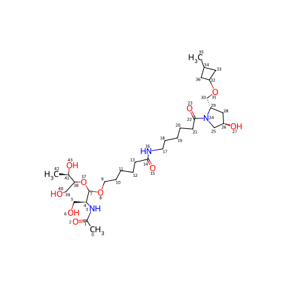 CC(=O)N[C@@H](CO)C(OCCCCCC(=O)NCCCCCC(=O)N1C[C@H](O)C[C@H]1COC1CC(C)C1)OC(CO)[C@@H](C)O